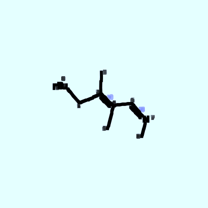 CCCCC/C(C)=C(C)/C=N\C